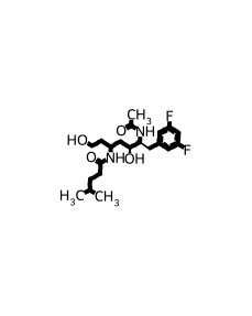 CC(=O)N[C@@H](Cc1cc(F)cc(F)c1)[C@@H](O)CC(CCO)NC(=O)CCC(C)C